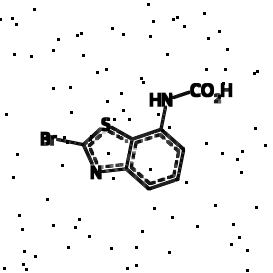 O=C(O)Nc1cccc2nc(Br)sc12